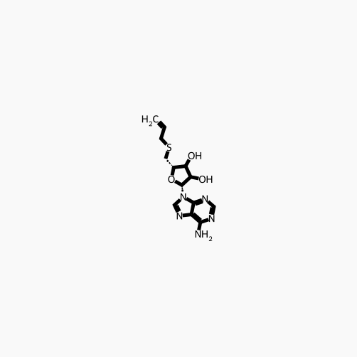 C=CCSC[C@H]1O[C@@H](n2cnc3c(N)ncnc32)C(O)C1O